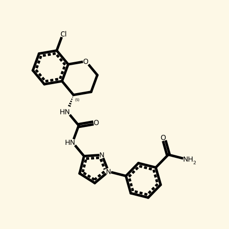 NC(=O)c1cccc(-n2ccc(NC(=O)N[C@H]3CCOc4c(Cl)cccc43)n2)c1